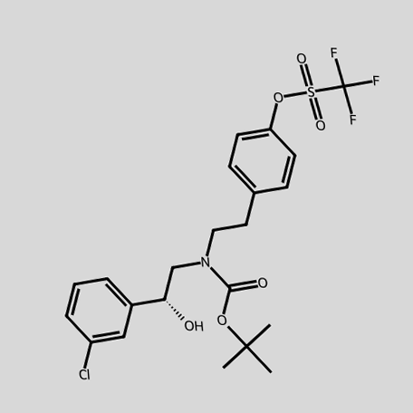 CC(C)(C)OC(=O)N(CCc1ccc(OS(=O)(=O)C(F)(F)F)cc1)C[C@H](O)c1cccc(Cl)c1